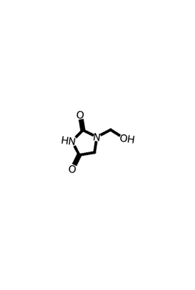 O=C1CN(CO)C(=O)N1